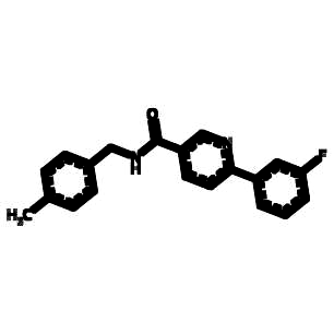 Cc1ccc(CNC(=O)c2ccc(-c3cccc(F)c3)nc2)cc1